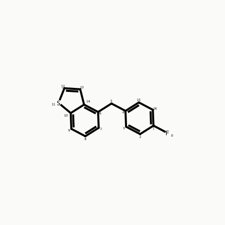 Fc1ccc(Cc2cccc3s[c]cc23)cc1